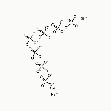 O=P([O-])([O-])[O-].O=P([O-])([O-])[O-].O=P([O-])([O-])[O-].O=P([O-])([O-])[O-].O=P([O-])([O-])[O-].O=P([O-])([O-])[O-].O=P([O-])([O-])[O-].[Re+7].[Re+7].[Re+7]